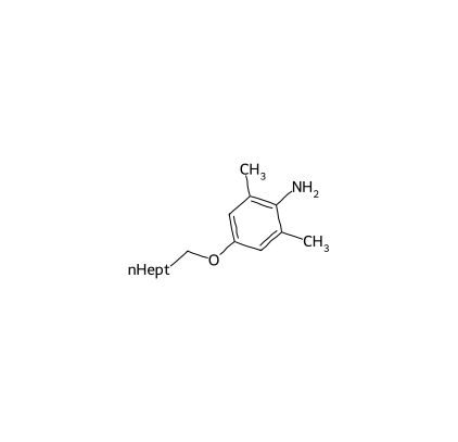 CCCCCCCCOc1cc(C)c(N)c(C)c1